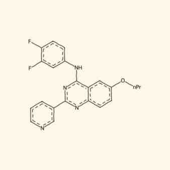 CCCOc1ccc2nc(-c3cccnc3)nc(Nc3ccc(F)c(F)c3)c2c1